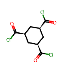 O=C(Cl)[C@H]1C[C@@H](C(=O)Cl)C[C@@H](C(=O)Cl)C1